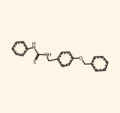 S=C(NCc1ccc(OCc2ccccc2)cc1)Nc1ccccc1